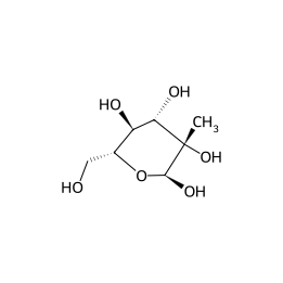 C[C@@]1(O)[C@@H](O)O[C@H](CO)[C@@H](O)[C@@H]1O